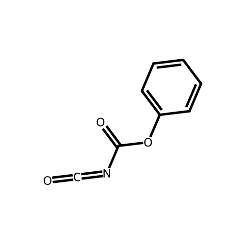 O=C=NC(=O)Oc1ccccc1